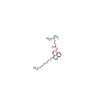 CCCCCCCCCc1ccc2cccc3c2c1C=CC3OC(=O)CCCC(C)C